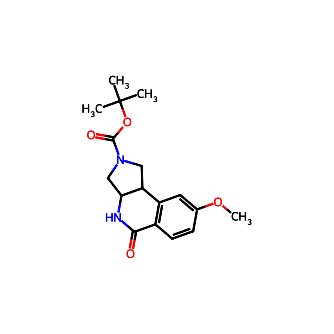 COc1ccc2c(c1)C1CN(C(=O)OC(C)(C)C)CC1NC2=O